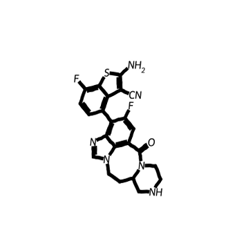 N#Cc1c(N)sc2c(F)ccc(-c3c(F)cc4c5c3ncn5CCC3CNCCN3C4=O)c12